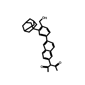 CC(=O)C(C(C)=O)c1ccc2cc(-c3ccc(CO)c(C45CC6CC(CC(C6)C4)C5)c3)ccc2c1